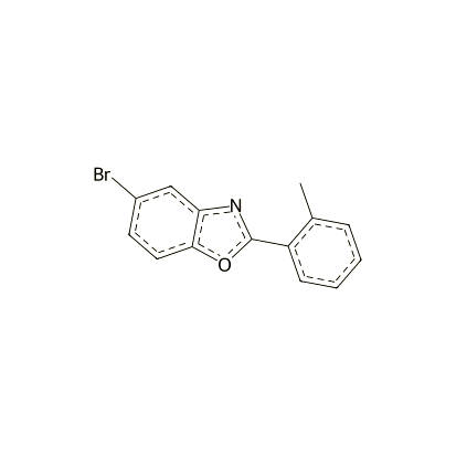 Cc1ccccc1-c1nc2cc(Br)ccc2o1